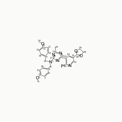 COc1ccc(CN(Cc2ccc(OC)cc2)c2nc(C)nc(-c3cc(C4OCCO4)cnc3F)n2)cc1